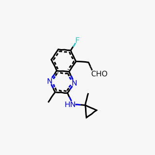 Cc1nc2ccc(F)c(CC=O)c2nc1NC1(C)CC1